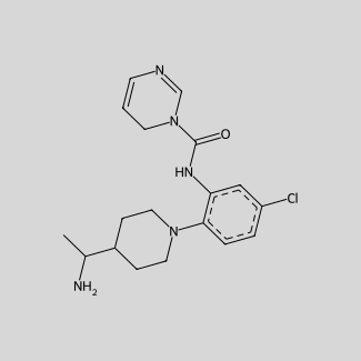 CC(N)C1CCN(c2ccc(Cl)cc2NC(=O)N2C=NC=CC2)CC1